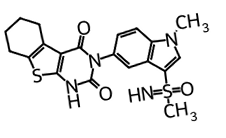 Cn1cc(S(C)(=N)=O)c2cc(-n3c(=O)[nH]c4sc5c(c4c3=O)CCCC5)ccc21